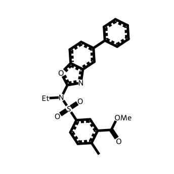 CCN(c1nc2cc(-c3ccccc3)ccc2o1)S(=O)(=O)c1ccc(C)c(C(=O)OC)c1